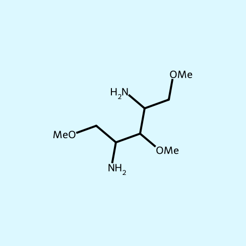 COCC(N)C(OC)C(N)COC